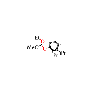 CCOC(OC)Oc1cc[c]c(C(C)C)c1C(C)C